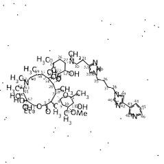 CC[C@H]1OC(=O)[C@H](C)[C@@H](C2C[C@@](C)(OC)[C@@H](O)[C@H](C)O2)[C@H](C)[C@@H](O[C@@H]2O[C@H](C)C[C@H](N(C)CCc3cn(CCCCn4cnc(-c5cccnc5)c4)nn3)[C@H]2O)[C@](C)(O)C[C@@H](C)CN(C)[C@H](C)[C@@H](O)[C@]1(C)O